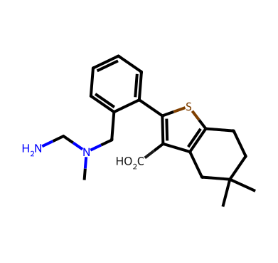 CN(CN)Cc1ccccc1-c1sc2c(c1C(=O)O)CC(C)(C)CC2